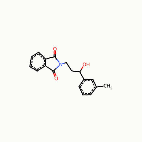 Cc1cccc(C(O)CCN2C(=O)c3ccccc3C2=O)c1